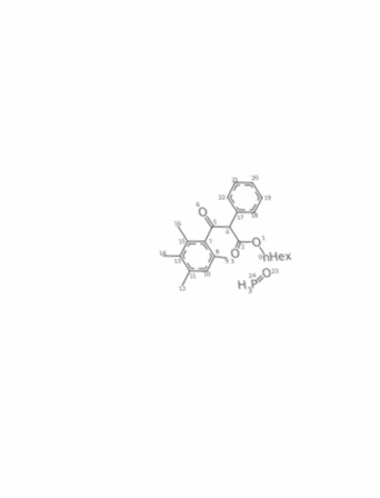 CCCCCCOC(=O)C(C(=O)c1c(C)cc(C)c(C)c1C)c1ccccc1.O=[PH3]